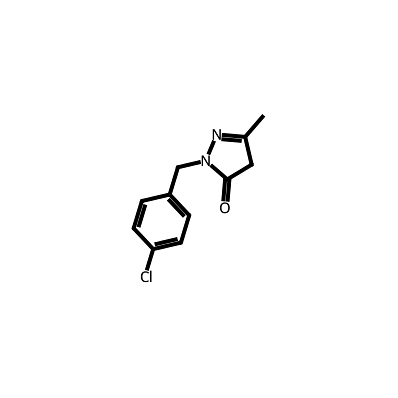 CC1=NN(Cc2ccc(Cl)cc2)C(=O)C1